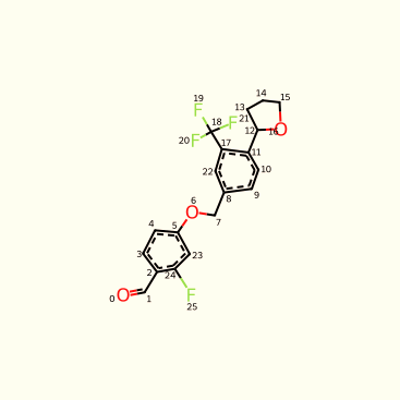 O=Cc1ccc(OCc2ccc(C3CCCO3)c(C(F)(F)F)c2)cc1F